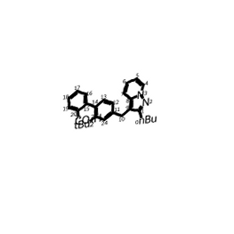 CCCCc1nn2ccccc2c1Cc1ccc(-c2ccccc2C(=O)O)c(C(C)(C)C)c1